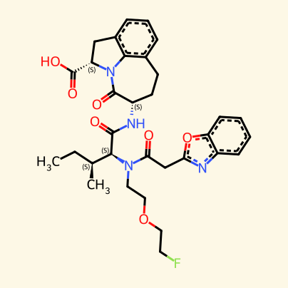 CC[C@H](C)[C@@H](C(=O)N[C@H]1CCc2cccc3c2N(C1=O)[C@H](C(=O)O)C3)N(CCOCCF)C(=O)Cc1nc2ccccc2o1